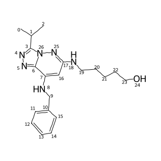 CC(C)c1nnc2c(NCc3ccccc3)cc(NCCCCCO)nn12